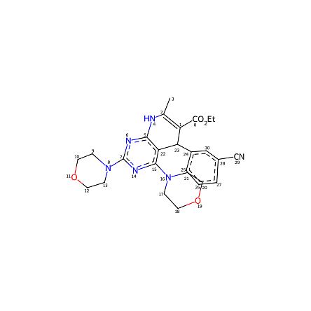 CCOC(=O)C1=C(C)Nc2nc(N3CCOCC3)nc(N3CCOCC3)c2C1c1cccc(C#N)c1